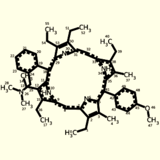 CCC1=C(C)c2nc1cc1[nH]c(c(CC)c1CC)c(-c1ccccc1CN(C)C)c1nc(cc3[nH]c(c(C)c3CC)c2-c2ccc(OC)cc2)C(CC)=C1CC